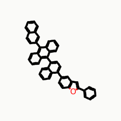 c1ccc(-c2cc3cc(-c4ccc(-c5c6ccccc6c(-c6ccc7ccccc7c6)c6ccccc56)c5ccccc45)ccc3o2)cc1